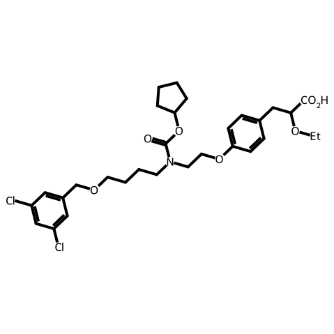 CCOC(Cc1ccc(OCCN(CCCCOCc2cc(Cl)cc(Cl)c2)C(=O)OC2CCCC2)cc1)C(=O)O